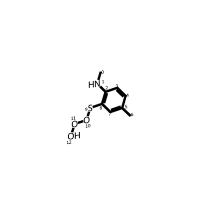 CNc1ccc(C)cc1SOOO